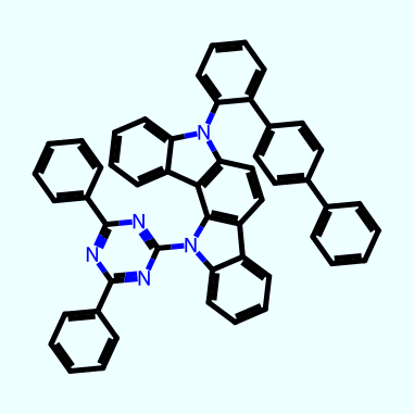 c1ccc(-c2ccc(-c3ccccc3-n3c4ccccc4c4c3ccc3c5ccccc5n(-c5nc(-c6ccccc6)nc(-c6ccccc6)n5)c34)cc2)cc1